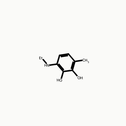 CCNc1ccc(C)c(O)c1O